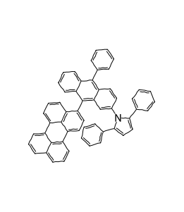 c1ccc(-c2c3ccccc3c(-c3ccc4c5cccc6cccc(c7cccc3c74)c65)c3cc(-n4c(-c5ccccc5)ccc4-c4ccccc4)ccc23)cc1